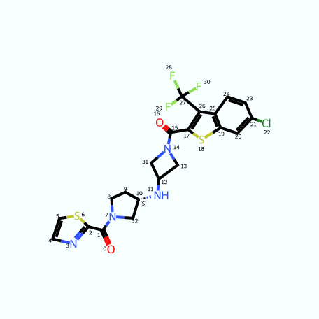 O=C(c1nccs1)N1CC[C@H](NC2CN(C(=O)c3sc4cc(Cl)ccc4c3C(F)(F)F)C2)C1